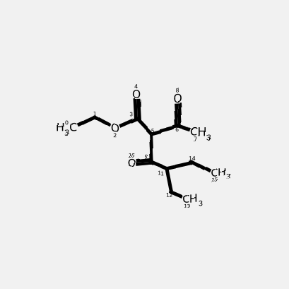 CCOC(=O)C(C(C)=O)C(=O)C(CC)CC